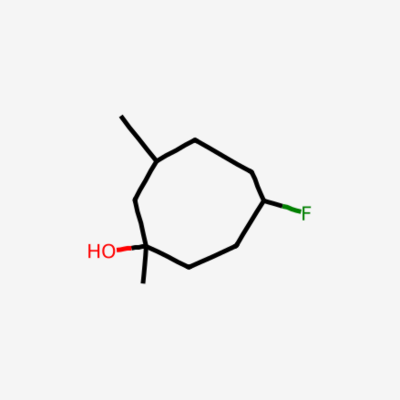 CC1CCC(F)CCC(C)(O)C1